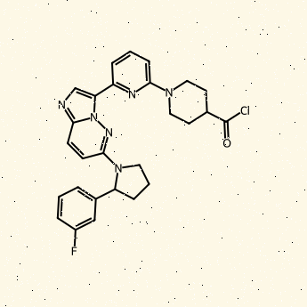 O=C(Cl)C1CCN(c2cccc(-c3cnc4ccc(N5CCCC5c5cccc(F)c5)nn34)n2)CC1